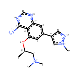 C[C@H](CN(C)C)Oc1cc(-c2cnn(C)c2)cc2ncnc(N)c12